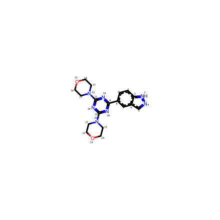 c1cc2[nH]ncc2cc1-c1nc(N2CCOCC2)nc(N2CCOCC2)n1